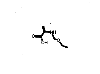 C=C(NCOCC)C(=O)O